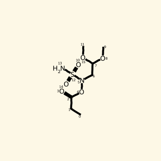 CCC(=O)ON(CC(OC)OC)S(N)(=O)=O